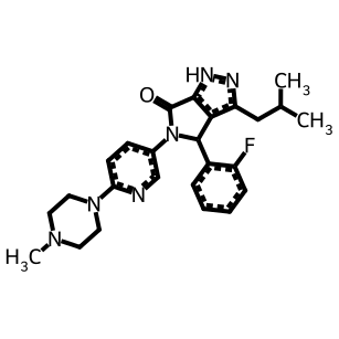 CC(C)Cc1n[nH]c2c1C(c1ccccc1F)N(c1ccc(N3CCN(C)CC3)nc1)C2=O